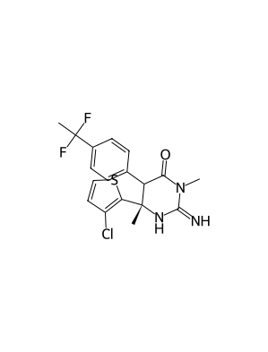 CN1C(=N)N[C@](C)(c2sccc2Cl)C(c2ccc(C(C)(F)F)cc2)C1=O